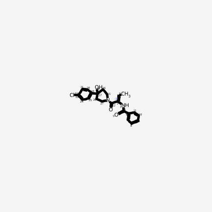 C/C=C(\NC(=O)c1ccccc1)C(=O)N1CCC(O)(c2ccc(Cl)cc2)CC1